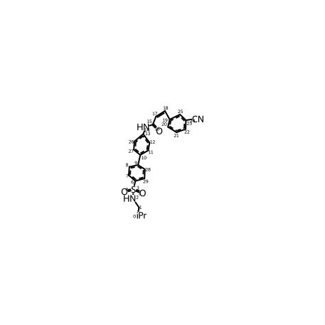 CC(C)CNS(=O)(=O)c1ccc(-c2ccc(NC(=O)/C=C\c3cccc(C#N)c3)cc2)cc1